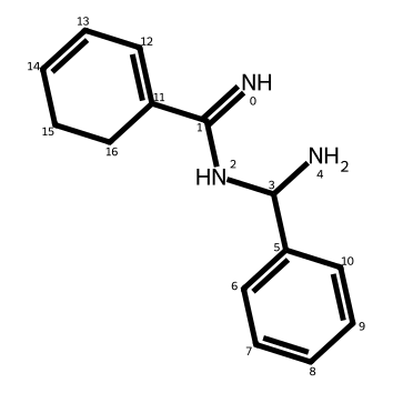 N=C(NC(N)c1ccccc1)C1=CC=CCC1